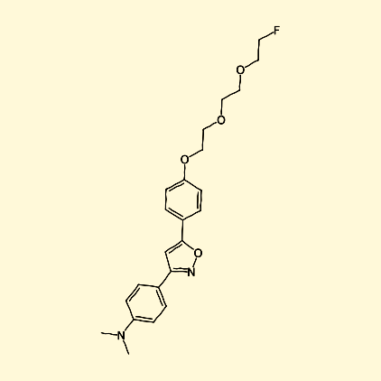 CN(C)c1ccc(-c2cc(-c3ccc(OCCOCCOCCF)cc3)on2)cc1